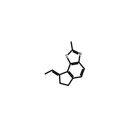 C/C=C1\CCc2ccc3nc(C)sc3c21